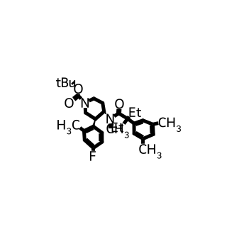 CCC(CC)(C(=O)N(C)[C@H]1CCN(C(=O)OC(C)(C)C)C[C@@H]1c1ccc(F)cc1C)c1cc(C)cc(C)c1